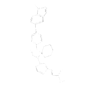 Cn1ncc2cc(-c3ccc(CC4(N(C=O)c5cccc(/C=C/C(=O)O)c5)CCCCC4)cc3)ccc21